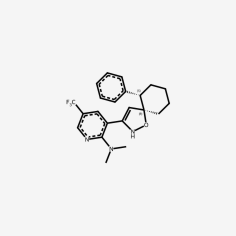 CN(C)c1ncc(C(F)(F)F)cc1C1=C[C@]2(CCCC[C@H]2c2ccccc2)ON1